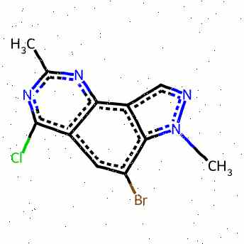 Cc1nc(Cl)c2cc(Br)c3c(cnn3C)c2n1